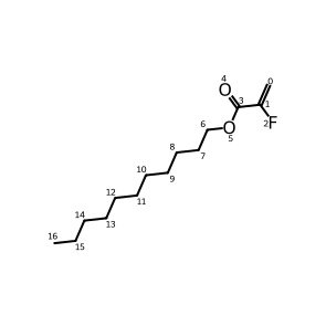 C=C(F)C(=O)OCCCCCCCCCCC